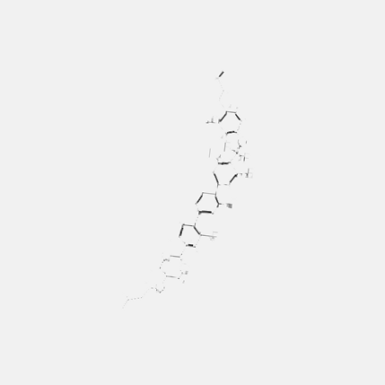 C=CCCc1ccc(OC(F)(F)c2c(F)cc(-c3ccc(-c4ccc(C5OCC(OCCCC)CO5)cc4F)cc3F)cc2F)cc1F